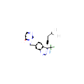 CC(C)CC#C[C@@]1(C(F)(F)F)NC=Nc2cc(Cn3cnccc3=O)ccc21